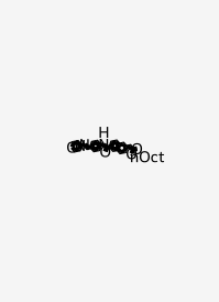 CCCCCCCCOC(=O)CC1CCc2cc(C(=O)Nc3ccc(C=NN4CCOCC4)cc3)ccc2C1